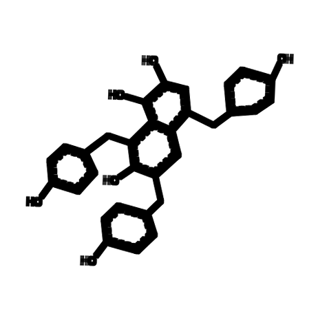 Oc1ccc(Cc2cc3c(Cc4ccc(O)cc4)cc(O)c(O)c3c(Cc3ccc(O)cc3)c2O)cc1